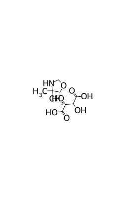 CC1(C)COCN1.O=C(O)C(O)C(O)C(=O)O